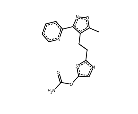 Cc1onc(-c2ccccn2)c1CCc1ncc(OC(N)=O)s1